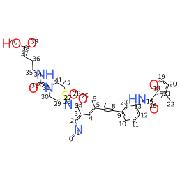 C=N/C=C(\C=C(/C)C#Cc1cccc(NC(=O)c2occc2C)c1)C(=O)N=S1(=O)CCN(C(=O)NCCCC(=O)O)CC1